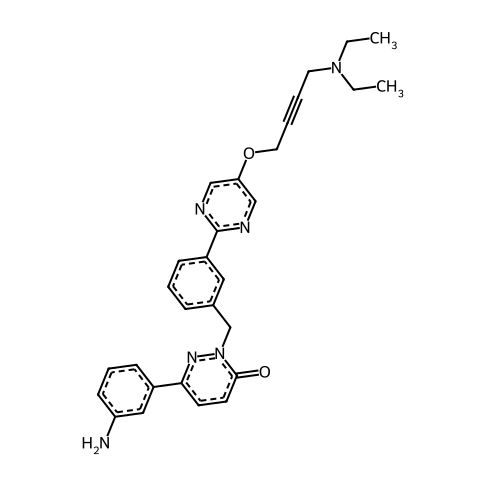 CCN(CC)CC#CCOc1cnc(-c2cccc(Cn3nc(-c4cccc(N)c4)ccc3=O)c2)nc1